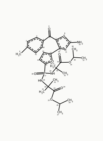 Cc1ccc(C(=O)c2sc(N)nc2-c2ccc(P(=O)(NC(C)(C)C(=O)OC(C)C)NC(C)(C)C(=O)OC(C)C)o2)cc1